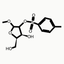 COC1O[C@H](CO)[C@H](O)C1OS(=O)(=O)c1ccc(C)cc1